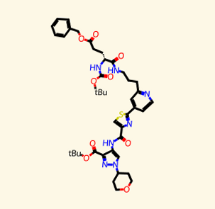 CC(C)(C)OC(=O)N[C@H](CCC(=O)OCc1ccccc1)C(=O)NCCCc1cc(-c2nc(C(=O)Nc3cn(C4CCOCC4)nc3C(=O)OC(C)(C)C)cs2)ccn1